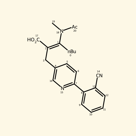 CCCCC(=C(Cc1ccc(-c2ccccc2C#N)nc1)C(=O)O)N(C)C(C)=O